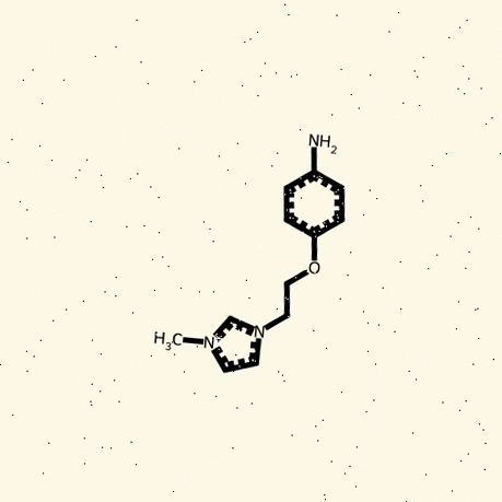 C[n+]1ccn(CCOc2ccc(N)cc2)c1